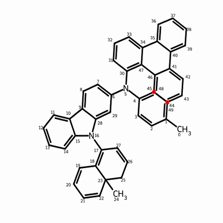 Cc1ccc(N(c2ccc3c4ccccc4n(C4=C5C=CC=CC5(C)CC=C4)c3c2)c2cccc3c4ccccc4c4ccccc4c23)cc1